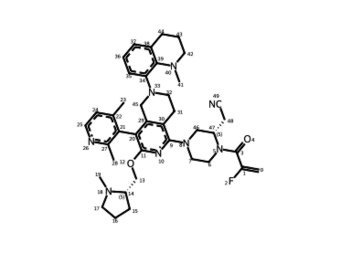 C=C(F)C(=O)N1CCN(c2nc(OC[C@@H]3CCCN3C)c(-c3c(C)ccnc3C)c3c2CCN(c2cccc4c2N(C)CCC4)C3)C[C@@H]1CC#N